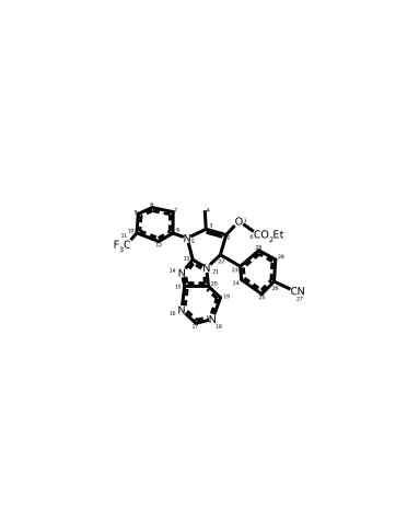 CCOC(=O)OC1=C(C)N(c2cccc(C(F)(F)F)c2)c2nc3ncncc3n2C1c1ccc(C#N)cc1